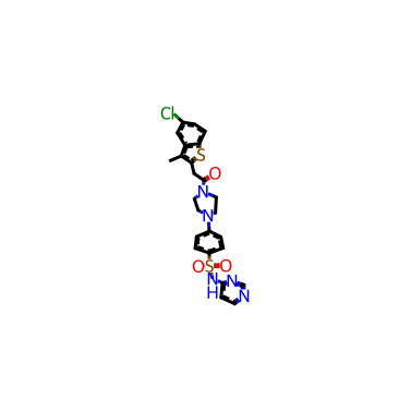 Cc1c(CC(=O)N2CCN(c3ccc(S(=O)(=O)Nc4ccncn4)cc3)CC2)sc2ccc(Cl)cc12